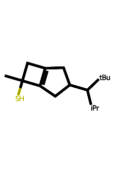 CC(C)C(C1CC2=C(C1)C(C)(S)C2)C(C)(C)C